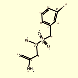 CCN(CC(N)=S)S(=O)(=O)Cc1cccc(F)c1